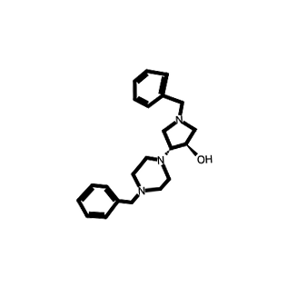 O[C@@H]1CN(Cc2ccccc2)C[C@H]1N1CCN(Cc2ccccc2)CC1